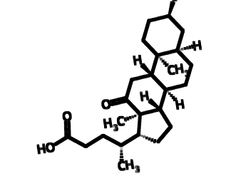 C[C@H](CCC(=O)O)[C@H]1CC[C@H]2[C@@H]3CC[C@@H]4C[C@H](O)CC[C@]4(C)[C@H]3CC(=O)[C@]12C